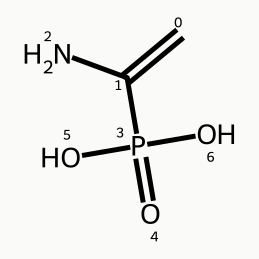 C=C(N)P(=O)(O)O